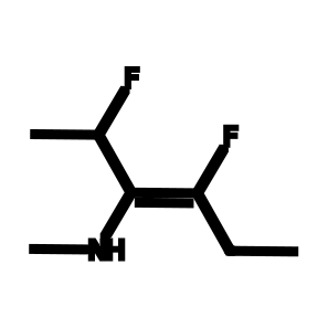 CC/C(F)=C(\NC)C(C)F